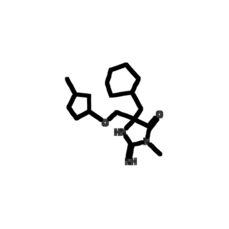 CC1CCC(OCC2(CC3CCCCC3)NC(=N)N(C)C2=O)C1